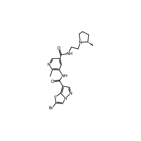 Cc1ncc(C(=O)NCCN2CCC[C@H]2C)cc1NC(=O)c1cnn2cc(Br)sc12